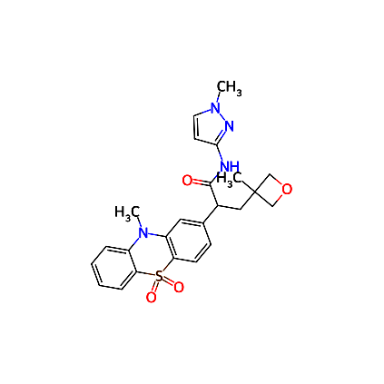 CN1c2ccccc2S(=O)(=O)c2ccc(C(CC3(C)COC3)C(=O)Nc3ccn(C)n3)cc21